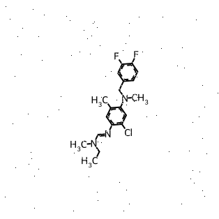 CCN(C)C=Nc1cc(C)c(N(C)Cc2ccc(F)c(F)c2)cc1Cl